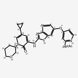 CC(=O)Nc1cc(Oc2cnc3nc(Nc4cc(C5CC5)cn([C@@H]5CCCOC5)c4=O)sc3c2)ccn1